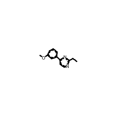 CCc1nccc(-c2cccc(OC)c2)n1